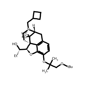 CC[C@H](O)[C@@H]1Oc2c(OC(C)(C)COC(C)(C)C)ccc3c2[C@@]12CCN(CC1CCC1)[C@H](C3)[C@@]2(C)O